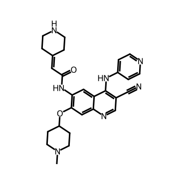 CN1CCC(Oc2cc3ncc(C#N)c(Nc4ccncc4)c3cc2NC(=O)C=C2CCNCC2)CC1